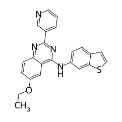 CCOc1ccc2nc(-c3cccnc3)nc(Nc3ccc4ccsc4c3)c2c1